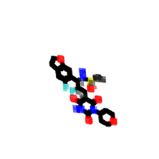 CC(C)(C)[S@@+]([O-])N[C@@H](c1cc2c(cc1F)CCO2)[C@H](F)C[C@@H]1C(=O)NC(=O)N(C2CCOCC2)C1=O